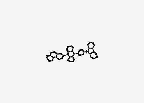 C1=CC2c3ccccc3N(c3ccc(-c4c5ccccc5c(-c5ccc6c(ccc7ccccc76)c5)c5ccccc45)cc3)C2C=C1